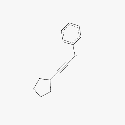 C(#CC1CCCC1)[CH]c1ccccc1